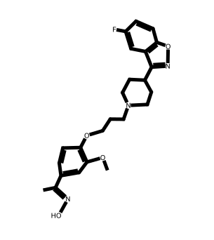 COc1cc(C(C)=NO)ccc1OCCCN1CCC(c2noc3ccc(F)cc23)CC1